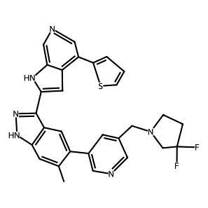 Cc1cc2[nH]nc(-c3cc4c(-c5cccs5)cncc4[nH]3)c2cc1-c1cncc(CN2CCC(F)(F)C2)c1